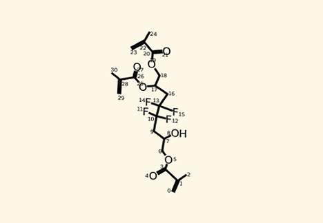 C=C(C)C(=O)OCC(O)CC(F)(F)C(F)(F)CC(COC(=O)C(=C)C)OC(=O)C(=C)C